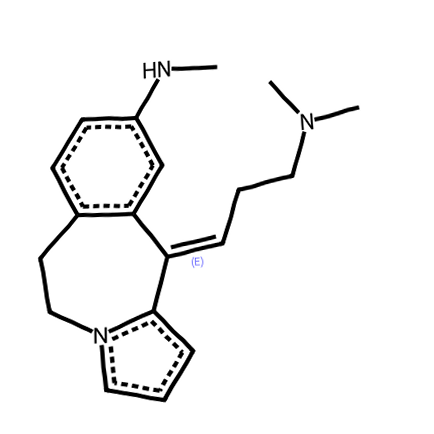 CNc1ccc2c(c1)/C(=C\CCN(C)C)c1cccn1CC2